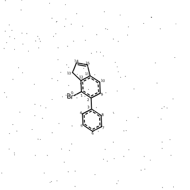 Brc1c(-c2ccccc2)ccc2c1CC=C2